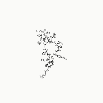 CCCCc1cn(C[C@H]2/C=C(C)/C=C/C(=O)[C@H](C)C[C@H](CC=O)[C@H](O[C@@H]3O[C@H](C)C(O)C(N(C)C)C3O)[C@@H](C)CCC(=O)O[C@@H]2CC)nn1